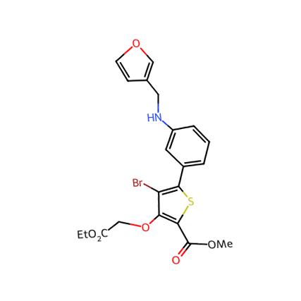 CCOC(=O)COc1c(C(=O)OC)sc(-c2cccc(NCc3ccoc3)c2)c1Br